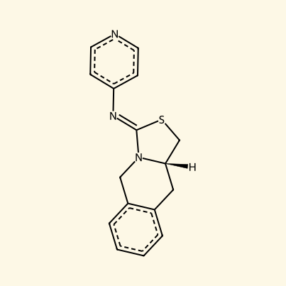 c1ccc2c(c1)C[C@H]1CSC(=Nc3ccncc3)N1C2